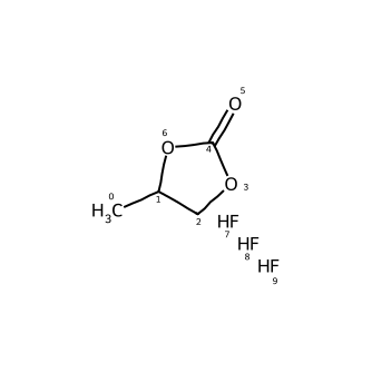 CC1COC(=O)O1.F.F.F